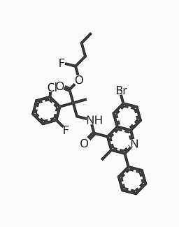 CCCC(F)OC(=O)C(C)(CNC(=O)c1c(C)c(-c2ccccc2)nc2ccc(Br)cc12)c1c(F)cccc1Cl